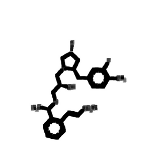 CCOC(=O)/C=C/c1ccccc1[C@@H](C)OC[C@H](O)CN1C[C@H](F)C[C@H]1Cc1ccc(C)c(F)c1